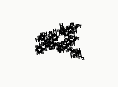 CC(C)C[C@H](NC(=O)[C@H](Cc1c[nH]cn1)NC(=O)[C@H](CC(C)C)NC(=O)[C@H](CCCNC(=N)N)NC(=O)[C@H](CC(C)C)NC(=O)[C@H](CCCNC(=N)N)NC(=O)[C@H](Cc1ccccc1)NC(=O)[C@@H]1CCCN1)C(N)=O